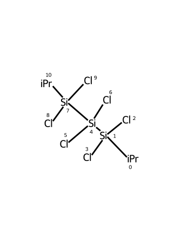 CC(C)[Si](Cl)(Cl)[Si](Cl)(Cl)[Si](Cl)(Cl)C(C)C